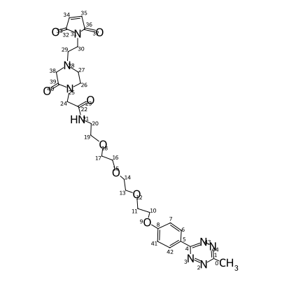 Cc1nnc(-c2ccc(OCCOCCOCCOCCNC(=O)CN3CCN(CCN4C(=O)C=CC4=O)CC3=O)cc2)nn1